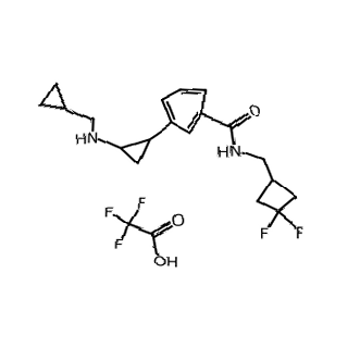 O=C(NCC1CC(F)(F)C1)c1cccc(C2CC2NCC2CC2)c1.O=C(O)C(F)(F)F